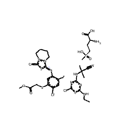 CCNc1nc(Cl)nc(NC(C)(C)C#N)n1.COC(=O)CSc1cc(/N=c2\sc(=O)n3n2CCCC3)c(F)cc1Cl.CP(=O)(O)CCC(N)C(=O)O